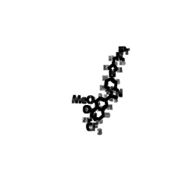 COc1cc(-c2cnc3cc(N4CC(CN(C)C(C)C)C4)ccn23)cc2c1C(=O)N(CC(F)(F)F)CC2